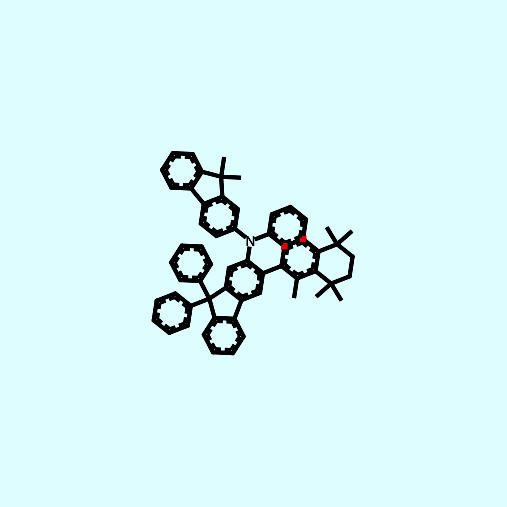 Cc1c(-c2cc3c(cc2N(c2ccccc2)c2ccc4c(c2)C(C)(C)c2ccccc2-4)C(c2ccccc2)(c2ccccc2)c2ccccc2-3)ccc2c1C(C)(C)CCC2(C)C